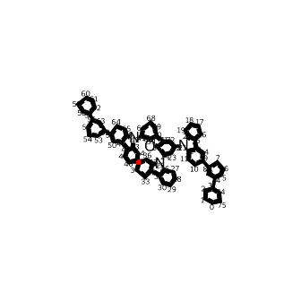 c1ccc(-c2cccc(-c3ccc4c(c3)c3ccccc3n4-c3cc(-n4c5ccccc5c5ccccc54)c4oc5c(-n6c7ccccc7c7cc(-c8cccc(-c9ccccc9)c8)ccc76)cccc5c4c3)c2)cc1